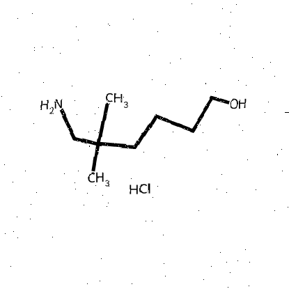 CC(C)(CN)CCCCO.Cl